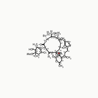 CC[C@H]1OC(=O)[C@H](C)[C@@H](O[C@H]2C[C@@](C)(OC)[C@@H](O)[C@H](C)O2)[C@H](C)[C@@H](O[C@@H]2O[C@H](C)C[C@H](N(C)CCn3cc(C)nn3)[C@H]2O)[C@](C)(O)C[C@@H](C)CN(C)[C@H](C)[C@@H](O)[C@]1(C)O